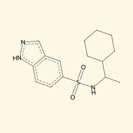 CC(NS(=O)(=O)c1ccc2[nH]ncc2c1)C1CCCCC1